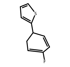 FC1=CCC(c2cccs2)C=C1